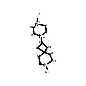 IN1CCN(C2CC3(CCN(I)CC3)C2)CC1